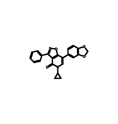 O=c1c2c(-c3ccccc3)noc2c(-c2ccc3c(c2)OCO3)cn1C1CC1